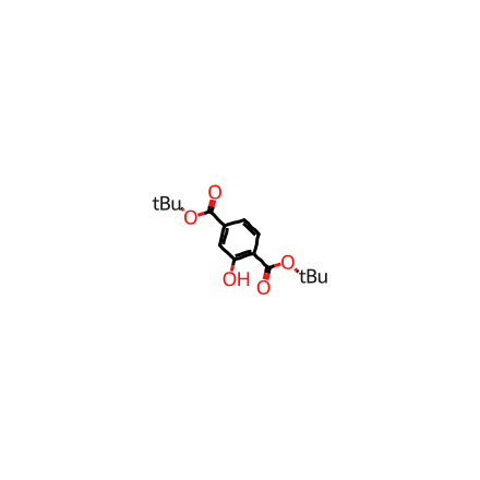 CC(C)(C)OC(=O)c1ccc(C(=O)OC(C)(C)C)c(O)c1